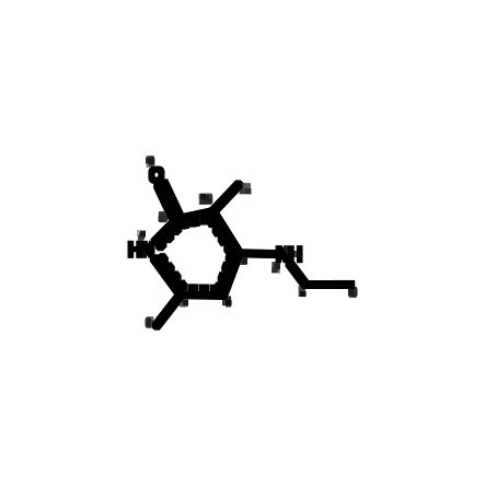 CCNc1cc(C)[nH]c(=O)c1C